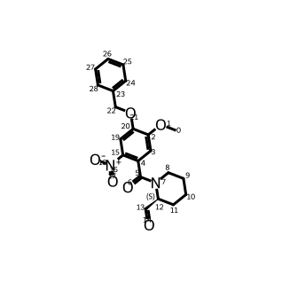 COc1cc(C(=O)N2CCCC[C@H]2C=O)c([N+](=O)[O-])cc1OCc1ccccc1